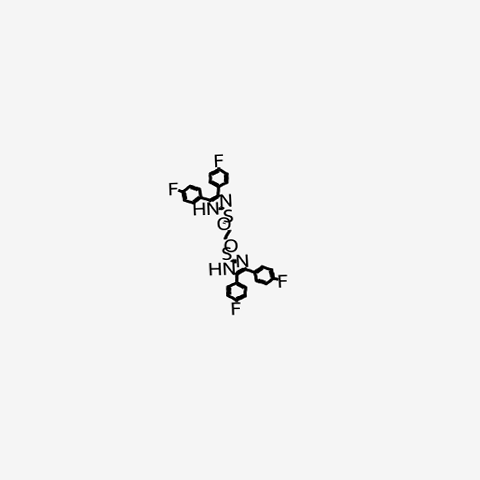 Fc1ccc(-c2nc(SOCCOSc3nc(-c4ccc(F)cc4)c(-c4ccc(F)cc4)[nH]3)[nH]c2-c2ccc(F)cc2)cc1